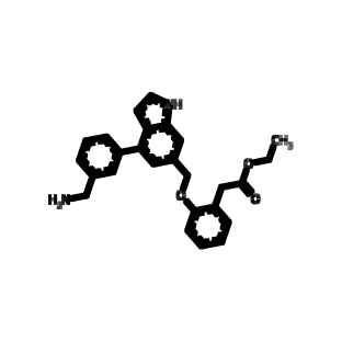 CCOC(=O)Cc1ccccc1OCc1cc(-c2cccc(CN)c2)c2cc[nH]c2c1